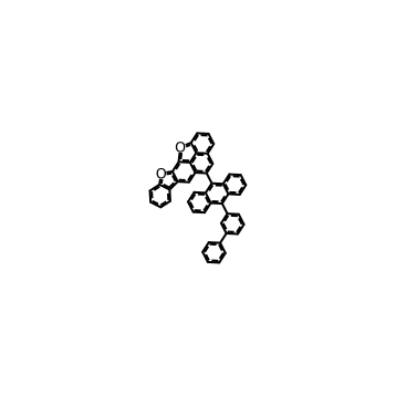 c1ccc(-c2cccc(-c3c4ccccc4c(-c4cc5cccc6oc7c8oc9ccccc9c8cc4c7c56)c4ccccc34)c2)cc1